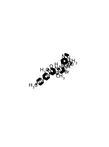 COc1cc(N2CCC(N3CCN(C)CC3)CC2)n(C)c(=O)c1Nc1ncc(Br)c(Nc2ccc3nccnc3c2P(C)(C)=O)n1